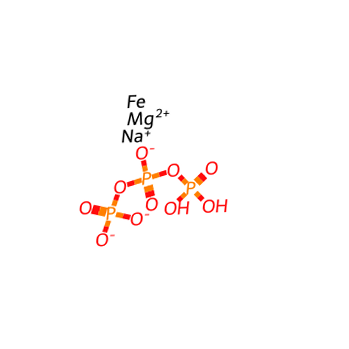 O=P([O-])([O-])OP(=O)([O-])OP(=O)(O)O.[Fe].[Mg+2].[Na+]